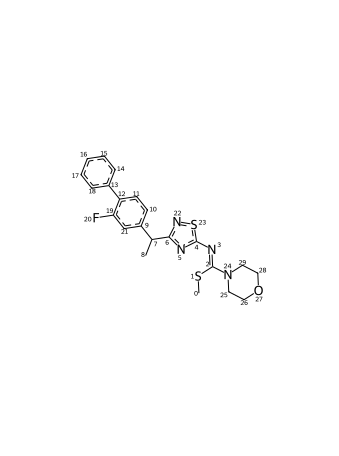 CSC(=Nc1nc(C(C)c2ccc(-c3ccccc3)c(F)c2)ns1)N1CCOCC1